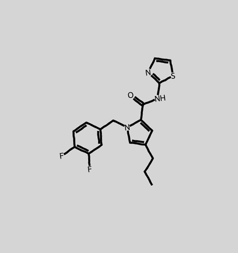 CCCc1cc(C(=O)Nc2nccs2)n(Cc2ccc(F)c(F)c2)c1